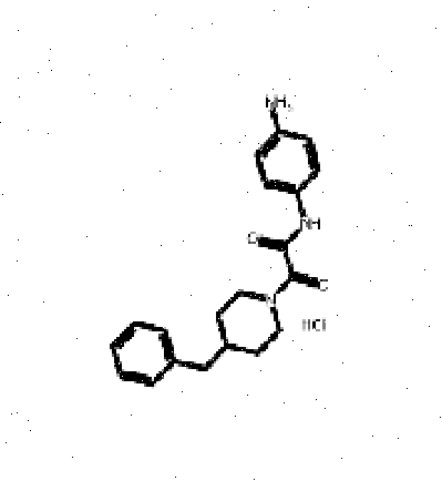 Cl.Nc1ccc(NC(=O)C(=O)N2CCC(Cc3ccccc3)CC2)cc1